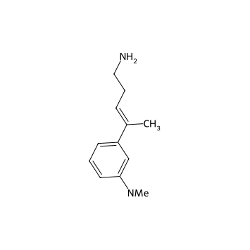 CNc1cccc(C(C)=CCCN)c1